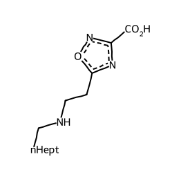 CCCCCCCCNCCc1nc(C(=O)O)no1